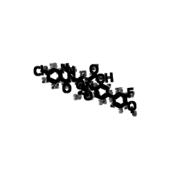 COc1ccc(-c2ccc(N([C@H](CCn3nnc4cc(Cl)ccc4c3=O)C(=O)O)S(C)(=O)=O)cc2)cc1F